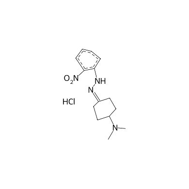 CN(C)C1CCC(=NNc2ccccc2[N+](=O)[O-])CC1.Cl